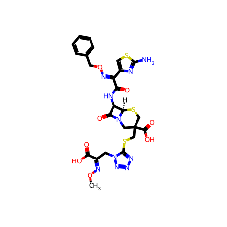 CON=C(Cn1nnnc1SCC1(C(=O)O)CS[C@@H]2C(NC(=O)C(=NOCc3ccccc3)c3csc(N)n3)C(=O)N2C1)C(=O)O